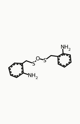 Nc1ccccc1CSOSCc1ccccc1N